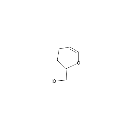 OCC1CCC=[C]O1